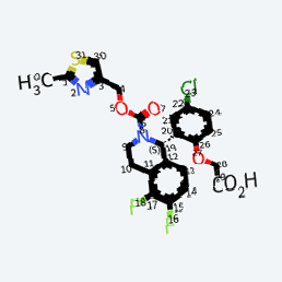 Cc1nc(COC(=O)N2CCc3c(ccc(F)c3F)[C@H]2c2cc(Cl)ccc2OCC(=O)O)cs1